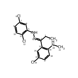 CC/C(=N\Nc1cc(Cl)ccc1Cl)c1cc(Cl)ccc1NC